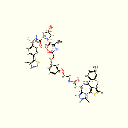 Cc1ncsc1-c1ccc([C@H](C)NC(=O)[C@@H]2C[C@@H](O)CN2C(=O)C(NC(=O)COc2cccc(OCCNC(=O)C[C@@H]3N=C(c4ccc(Cl)cc4)c4c(sc(C)c4C)-n4c(C)nnc43)c2)C(C)(C)C)cc1